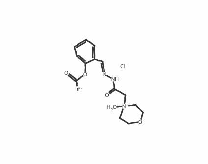 CC(C)C(=O)Oc1ccccc1/C=N/NC(=O)C[N+]1(C)CCOCC1.[Cl-]